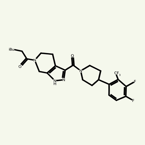 CCC(C)CC(=O)N1CCc2c(C(=O)N3CCC(c4ccc(F)c(F)c4C(F)(F)F)CC3)n[nH]c2C1